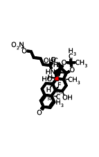 CC1(C)O[C@@H]2C[C@H]3[C@@H]4CCC5=CC(=O)C=C[C@]5(C)[C@@]4(F)[C@@H](O)C[C@]3(C)[C@@]2(C(CC=O)(NC(=O)CCCCO[N+](=O)[O-])C(=O)O)O1